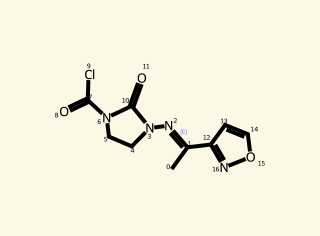 C/C(=N\N1CCN(C(=O)Cl)C1=O)c1ccon1